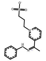 C/C(=N/Nc1ccccc1)c1ccc[n+](CCCS(=O)(=O)[O-])c1